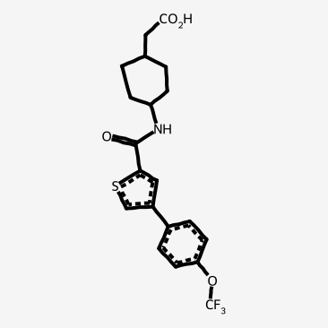 O=C(O)CC1CCC(NC(=O)c2cc(-c3ccc(OC(F)(F)F)cc3)cs2)CC1